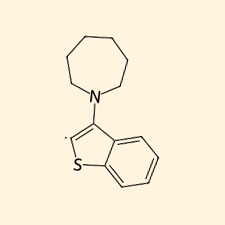 [c]1sc2ccccc2c1N1CCCCCC1